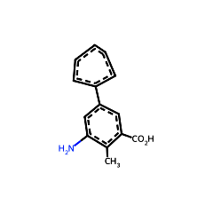 Cc1c(N)cc(-c2ccccc2)cc1C(=O)O